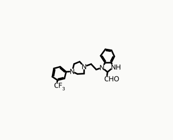 O=CC1Nc2ccccc2N1CCN1CCN(c2cccc(C(F)(F)F)c2)CC1